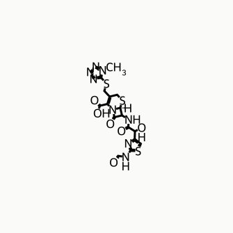 Cn1nnnc1SCC1=C(C(=O)O)N2C(=O)C(NC(=O)C(O)c3csc(NC=O)n3)[C@@H]2SC1